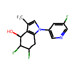 OC1c2c(C(F)(F)F)cn(-c3cncc(F)c3)c2CC(F)C1F